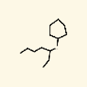 CCCCC(CC)OC1CCCCC1